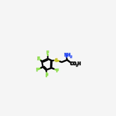 NC(CSc1c(F)c(F)c(F)c(F)c1F)C(=O)O